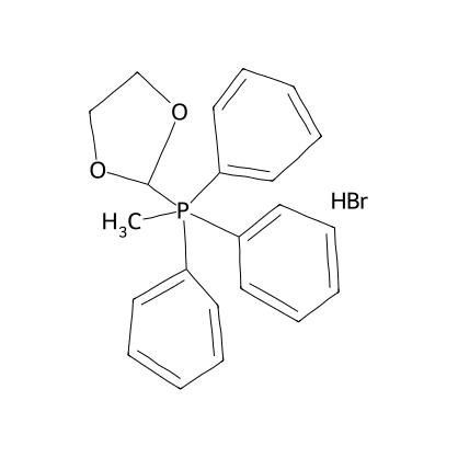 Br.CP(c1ccccc1)(c1ccccc1)(c1ccccc1)C1OCCO1